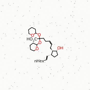 CCCCCC/C=C/[C@H]1CC[C@@H](O)[C@@H]1C/C=C\CCC(OC1CCCCO1)(OC1CCCCO1)C(=O)O